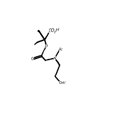 CC(=O)OCCN(CC(=O)OC(C)(C)C(=O)O)C(C)=O